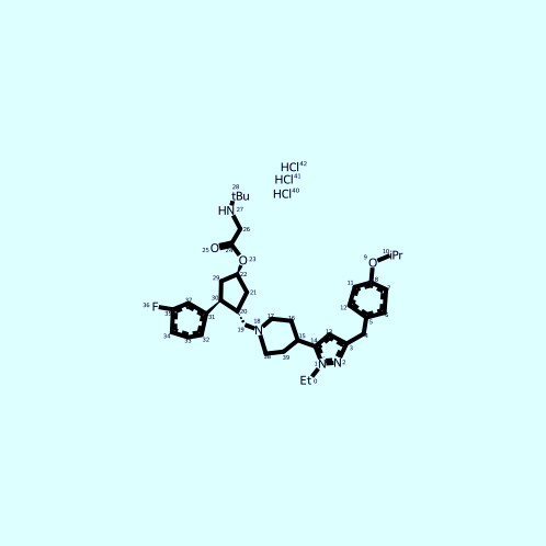 CCn1nc(Cc2ccc(OC(C)C)cc2)cc1C1CCN(C[C@H]2C[C@H](OC(=O)CNC(C)(C)C)C[C@@H]2c2cccc(F)c2)CC1.Cl.Cl.Cl